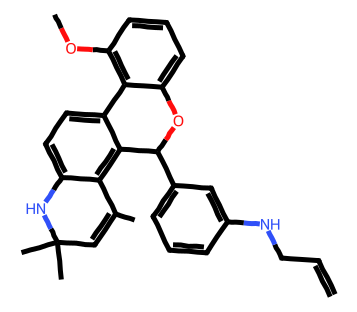 C=CCNc1cccc(C2Oc3cccc(OC)c3-c3ccc4c(c32)C(C)=CC(C)(C)N4)c1